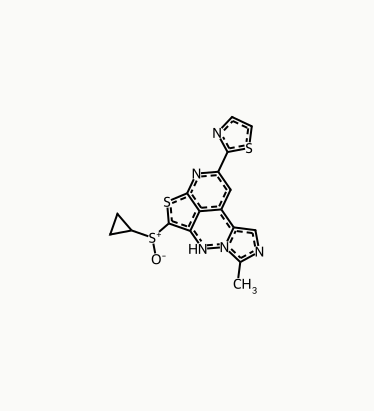 Cc1ncc2c3cc(-c4nccs4)nc4sc([S+]([O-])C5CC5)c([nH]n12)c43